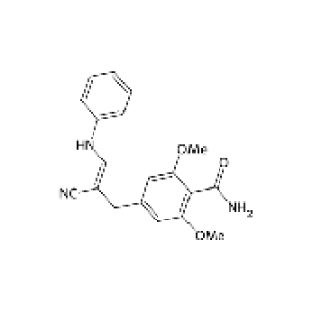 COc1cc(CC(C#N)=CNc2ccccc2)cc(OC)c1C(N)=O